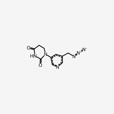 [N-]=[N+]=NCc1cncc(N2CCC(=O)NC2=O)c1